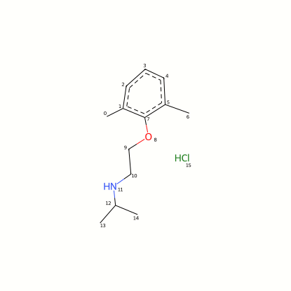 Cc1cccc(C)c1OCCNC(C)C.Cl